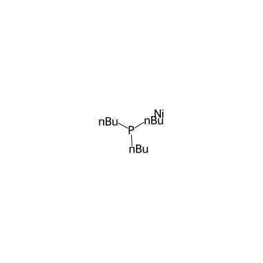 CCCCP(CCCC)CCCC.[Ni]